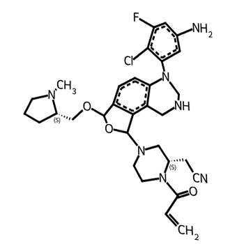 C=CC(=O)N1CCN(C2OC(OC[C@@H]3CCCN3C)c3ccc4c(c32)CNCN4c2cc(N)cc(F)c2Cl)C[C@@H]1CC#N